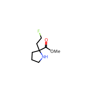 COC(=O)C1(CCF)CCCN1